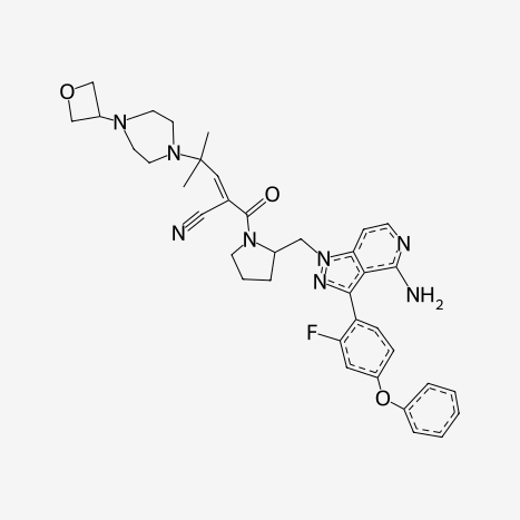 CC(C)(C=C(C#N)C(=O)N1CCCC1Cn1nc(-c2ccc(Oc3ccccc3)cc2F)c2c(N)nccc21)N1CCN(C2COC2)CC1